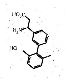 Cc1cccc(C)c1-c1cncc([C@@H](N)CC(=O)O)c1.Cl